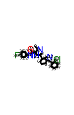 Cc1ncc(C2=CC=CC3C2=CN=C3c2ccccc2Cl)cc1C(=O)Nc1ccc(F)cc1